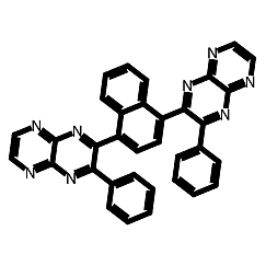 c1ccc(-c2nc3nccnc3nc2-c2ccc(-c3nc4nccnc4nc3-c3ccccc3)c3ccccc23)cc1